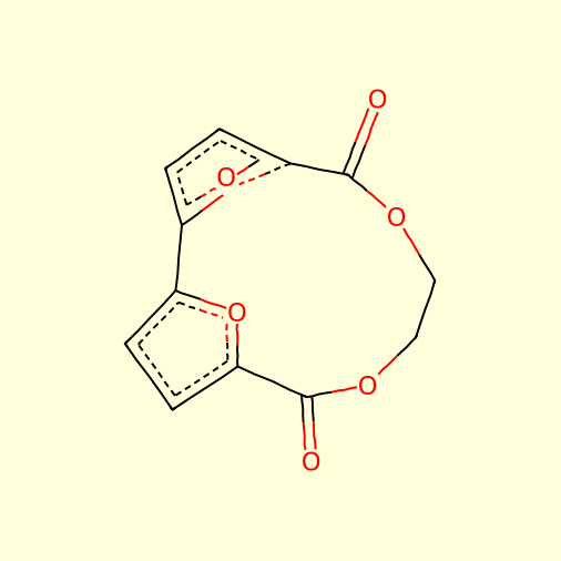 O=C1OCCOC(=O)c2ccc(o2)-c2ccc1o2